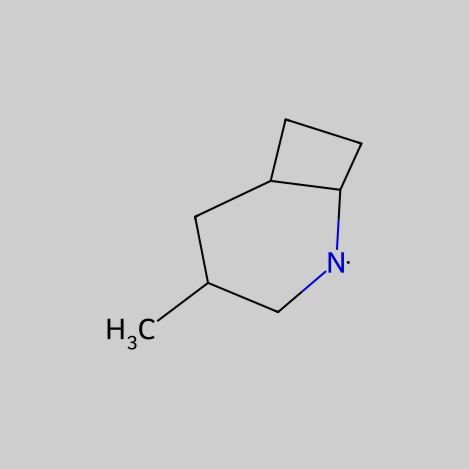 CC1C[N]C2CCC2C1